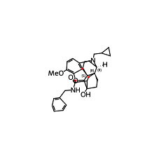 COc1ccc2c3c1OC1C4(O)CC[C@]5(CC4C(=O)NCc4ccccc4)[C@@H](C2)N(CC2CC2)CC[C@]315